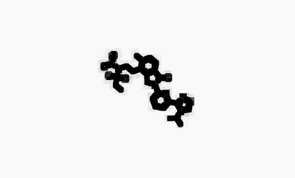 CCS(=O)(=O)N(CCc1c(C)ccc2c1CN(c1cccc(-c3nncn3C(C)C)n1)C2=O)[SH](=O)=O